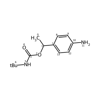 CC(OC(=O)NC(C)(C)C)c1ccc(N)cc1